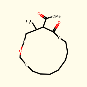 COC(=O)C1C(=O)CCCCCCCCCCOCCC1C